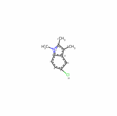 Cc1c(C)n(C)c2ccc(Cl)cc12